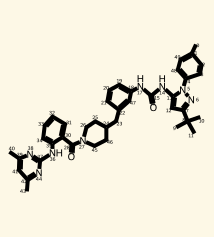 Cc1ccc(-n2nc(C(C)(C)C)cc2NC(=O)Nc2cccc(CC3CCN(C(=O)c4ccccc4Nc4nc(C)cc(C)n4)CC3)c2)cc1